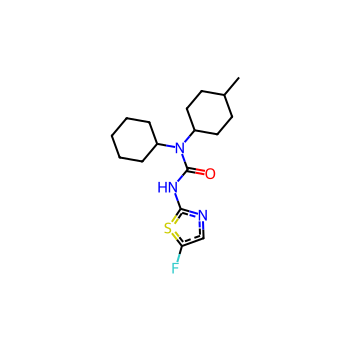 CC1CCC(N(C(=O)Nc2ncc(F)s2)C2CCCCC2)CC1